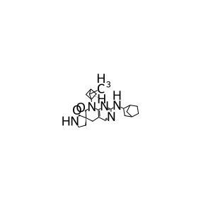 C[C@@H]1C2CC1(N1C(=O)[C@]3(CCNC3=O)Cc3cnc(NC4CC5CCC4C5)nc31)C2